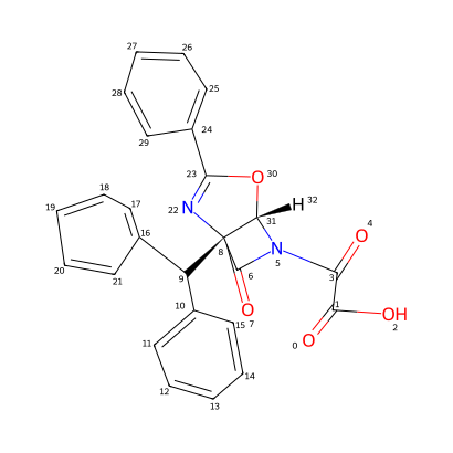 O=C(O)C(=O)N1C(=O)[C@]2(C(c3ccccc3)c3ccccc3)N=C(c3ccccc3)O[C@H]12